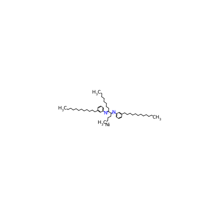 CCCCCCCCCCCCc1cccc(/N=C(CCCC)/C(CCCCCCCC)=N/c2cccc(CCCCCCCCCCCC)c2)c1.[Ni]